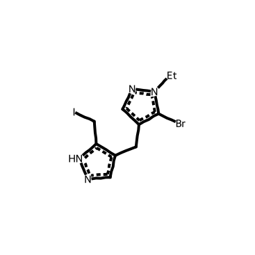 CCn1ncc(Cc2cn[nH]c2CI)c1Br